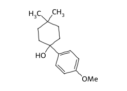 COc1ccc(C2(O)CCC(C)(C)CC2)cc1